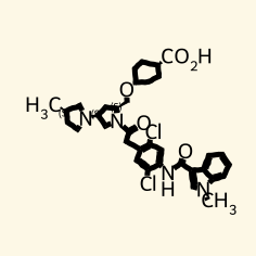 C[C@H]1CCN([C@H]2C[C@@H](CO[C@H]3CC[C@H](C(=O)O)CC3)N(C(=O)Cc3cc(Cl)c(NC(=O)c4cn(C)c5ccccc45)cc3Cl)C2)C1